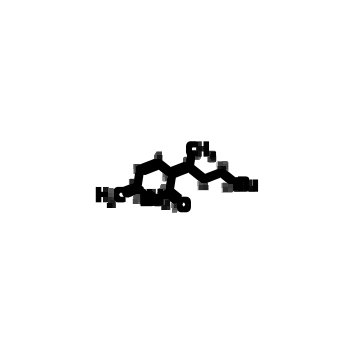 C=C(N)/C=C\C(C(=O)C(C)CC)=C(/C)CCC(C)(C)C